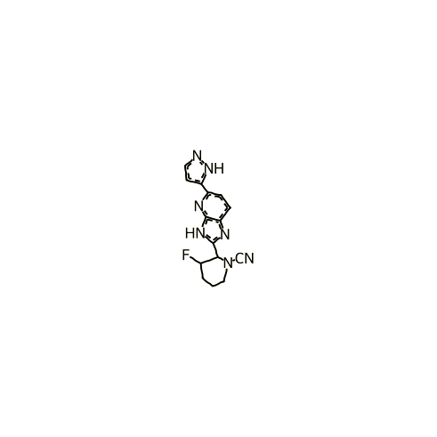 N#CN1CCCC(F)C1c1nc2ccc(-c3ccn[nH]3)nc2[nH]1